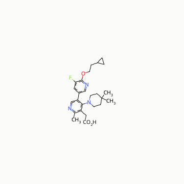 Cc1ncc(-c2cnc(OCCC3CC3)c(F)c2)c(N2CCC(C)(C)CC2)c1CC(=O)O